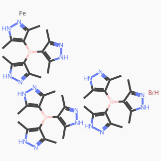 Br.Cc1n[nH]c(C)c1B(c1c(C)n[nH]c1C)c1c(C)n[nH]c1C.Cc1n[nH]c(C)c1B(c1c(C)n[nH]c1C)c1c(C)n[nH]c1C.Cc1n[nH]c(C)c1B(c1c(C)n[nH]c1C)c1c(C)n[nH]c1C.[Fe]